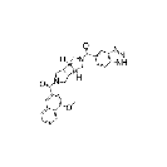 COc1nc(C(=O)N2CC3C(C2)[C@@H]2CN(C(=O)c4ccc5[nH]nnc5c4)C[C@H]32)cc2ccccc12